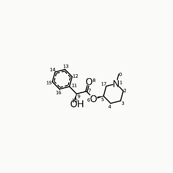 CN1CCC[C@@H](OC(=O)[C@@H](O)c2ccccc2)C1